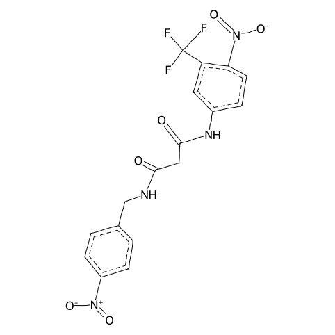 O=C(CC(=O)Nc1ccc([N+](=O)[O-])c(C(F)(F)F)c1)NCc1ccc([N+](=O)[O-])cc1